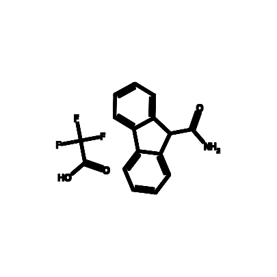 NC(=O)C1c2ccccc2-c2ccccc21.O=C(O)C(F)(F)F